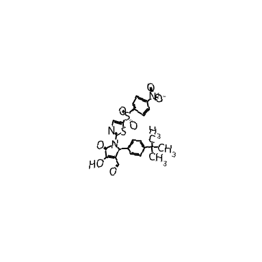 CC(C)(C)c1ccc(C2C(C=O)=C(O)C(=O)N2c2ncc(S(=O)(=O)c3ccc([N+](=O)[O-])cc3)s2)cc1